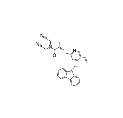 C=C(C)C(=O)N(CC#N)CC#N.C=Cc1ccc(C)nc1.C=Cn1c2ccccc2c2ccccc21